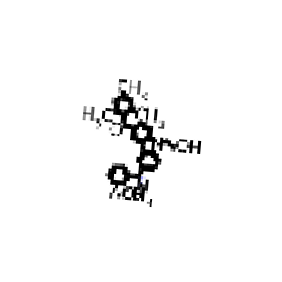 CC(=O)O/N=C(/c1ccc2c(c1)c1cc(C(=O)c3c(C)cc(C)cc3C)ccc1n2CCO)c1ccccc1C